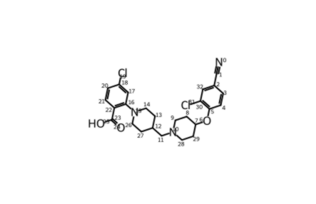 N#Cc1ccc(OC2CCN(CC3CCN(c4cc(Cl)ccc4C(=O)O)CC3)CC2)c(Cl)c1